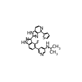 CC(C)Nc1cncc(-c2ccc3[nH]nc(-c4nc5c(-c6cccs6)nccc5[nH]4)c3c2F)c1